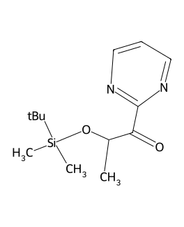 CC(O[Si](C)(C)C(C)(C)C)C(=O)c1ncccn1